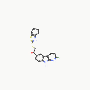 O=C(CSc1nc2ccccc2s1)c1ccc2[nH]c3nc(Cl)ccc3c2c1